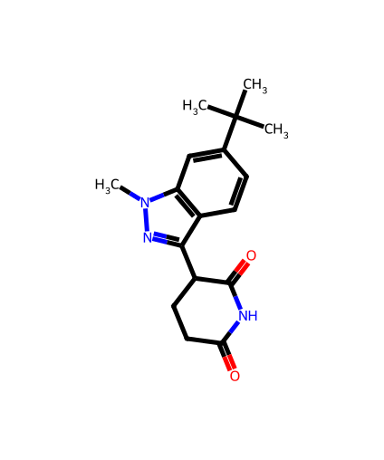 Cn1nc(C2CCC(=O)NC2=O)c2ccc(C(C)(C)C)cc21